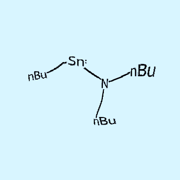 CCC[CH2][Sn][N](CCCC)CCCC